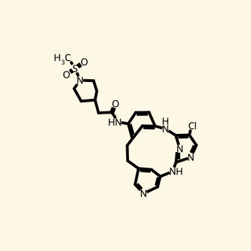 CS(=O)(=O)N1CCC(CC(=O)Nc2ccc3cc2CCc2cncc(c2)Nc2ncc(Cl)c(n2)N3)CC1